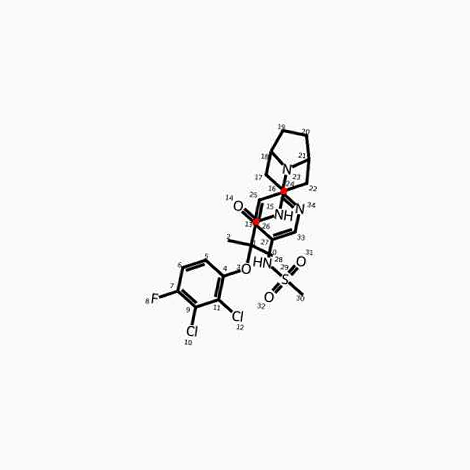 CC(C)(Oc1ccc(F)c(Cl)c1Cl)C(=O)NC1CC2CCC(C1)N2c1ccc(NS(C)(=O)=O)cn1